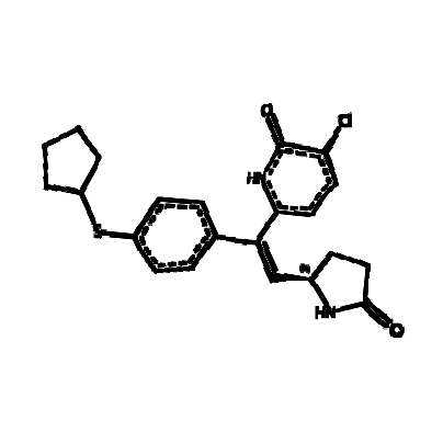 O=C1CC[C@H](C=C(c2ccc(SC3CCCC3)cc2)c2ccc(Cl)c(=O)[nH]2)N1